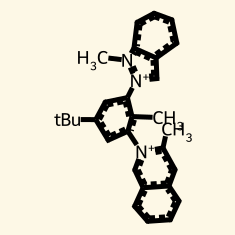 Cc1c(-[n+]2cc3ccccc3cc2C)cc(C(C)(C)C)cc1-[n+]1cc2ccccc2n1C